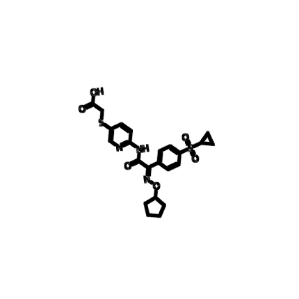 O=C(O)CSc1ccc(NC(=O)/C(=N/OC2CCCC2)c2ccc(S(=O)(=O)C3CC3)cc2)nc1